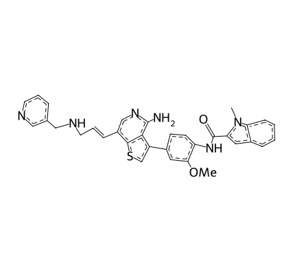 COc1cc(-c2csc3c(C=CCNCc4cccnc4)cnc(N)c23)ccc1NC(=O)c1cc2ccccc2n1C